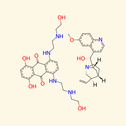 C=C[C@H]1C[N@]2CC[C@H]1C[C@H]2[C@H](O)c1ccnc2ccc(OC)cc12.O=C1c2c(O)ccc(O)c2C(=O)c2c(NCCNCCO)ccc(NCCNCCO)c21